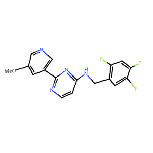 COc1cncc(-c2nccc(NCc3cc(F)c(F)cc3F)n2)c1